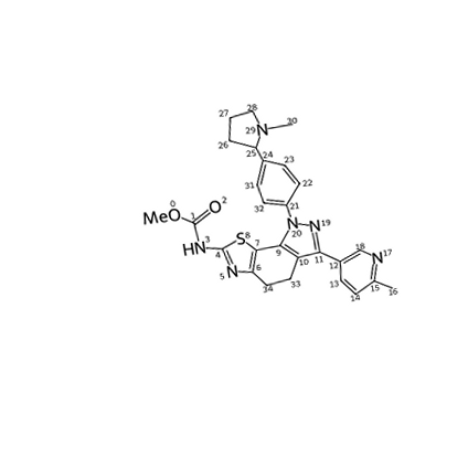 COC(=O)Nc1nc2c(s1)-c1c(c(-c3ccc(C)nc3)nn1-c1ccc(C3CCCN3C)cc1)CC2